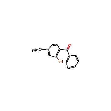 COc1ccc(C(=O)c2ccccc2)c(S)c1